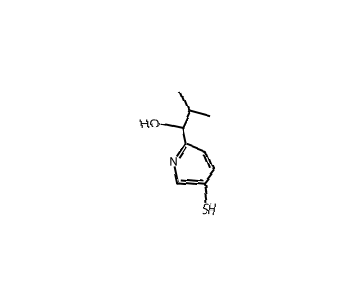 CC(C)C(O)c1ccc(S)cn1